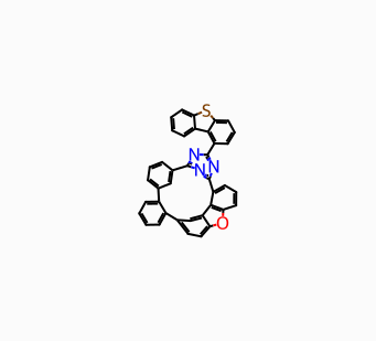 c1cc2cc(c1)c1ccccc1c1ccc3oc4cccc(c5nc(-c6cccc7sc8ccccc8c67)nc2n5)c4c3c1